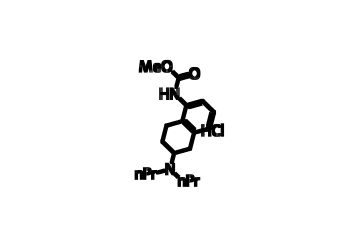 CCCN(CCC)C1CCc2c(cccc2NC(=O)OC)C1.Cl